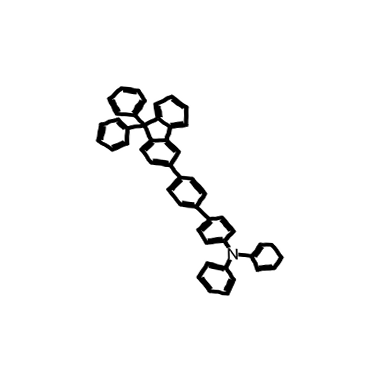 C1=CC(N(c2ccccc2)c2ccc(-c3ccc(-c4ccc5c(c4)-c4ccccc4C5(c4ccccc4)c4ccccc4)cc3)cc2)=CCC1